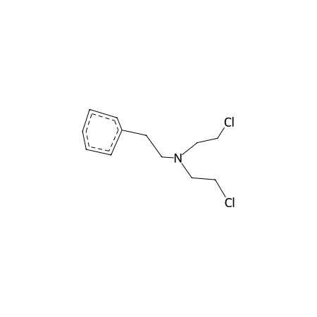 ClCCN(CCCl)CCc1ccccc1